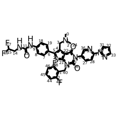 CN(C)Cc1c(-c2ccc(NC(=O)NCC(F)F)cc2)sc2c1c(=O)n(-c1ccc(-n3cccn3)nc1)c(=O)n2Cc1c(F)cccc1F